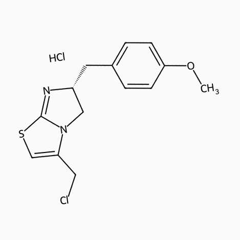 COc1ccc(C[C@@H]2CN3C(CCl)=CSC3=N2)cc1.Cl